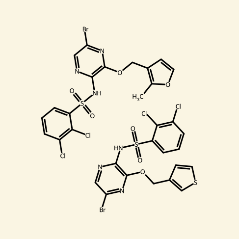 Cc1occc1COc1nc(Br)cnc1NS(=O)(=O)c1cccc(Cl)c1Cl.O=S(=O)(Nc1ncc(Br)nc1OCc1ccsc1)c1cccc(Cl)c1Cl